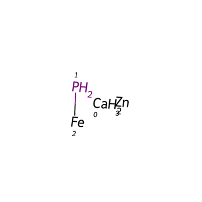 [CaH2].[PH2][Fe].[Zn]